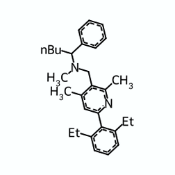 CCCCC(c1ccccc1)N(C)Cc1c(C)cc(-c2c(CC)cccc2CC)nc1C